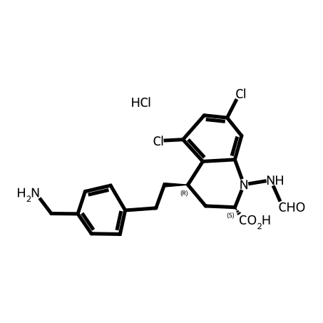 Cl.NCc1ccc(CC[C@@H]2C[C@@H](C(=O)O)N(NC=O)c3cc(Cl)cc(Cl)c32)cc1